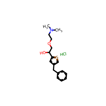 CN(C)CCOCC(O)c1cc(Cc2ccccc2)cs1.Cl